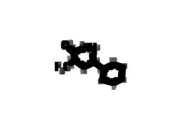 O=c1[nH]nc(-c2ccccc2)cc1C(F)(F)F